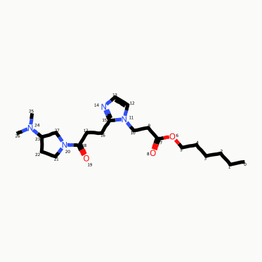 CCCCCCOC(=O)CCn1ccnc1CCC(=O)N1CCC(N(C)C)C1